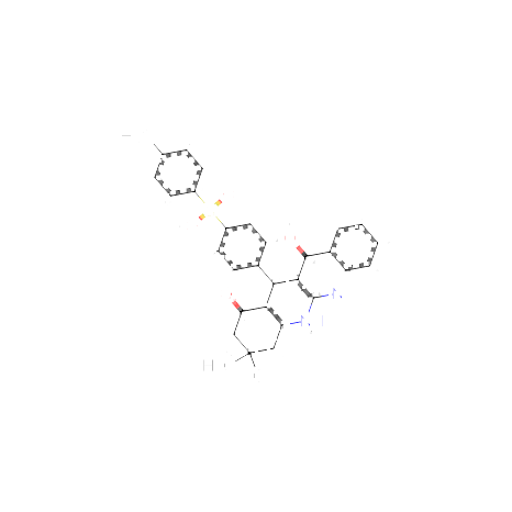 Cc1ccc(S(=O)(=O)c2ccc(C3C(C(=O)c4ccccc4)=C(N)NC4=C3C(=O)CC(C)(C)C4)cc2)cc1